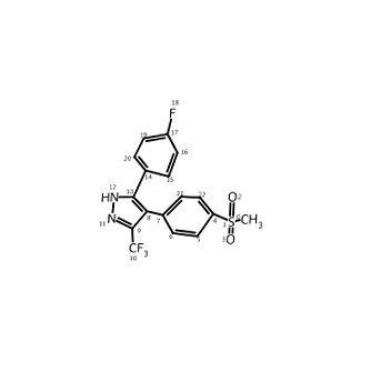 CS(=O)(=O)c1ccc(-c2c(C(F)(F)F)n[nH]c2-c2ccc(F)cc2)cc1